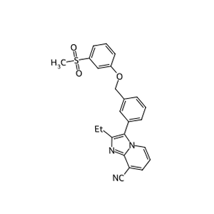 CCc1nc2c(C#N)cccn2c1-c1cccc(COc2cccc(S(C)(=O)=O)c2)c1